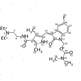 CCN(CC)CCNC(=O)c1c(C)[nH]c(/C=C2\C(=O)N(COC(=O)N(C)C)c3ccc(F)cc32)c1C